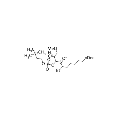 CCCCCCCCCCCCCCCC(CC)[S+]([O-])C(OP(=O)([O-])OCC[N+](C)(C)C)C(C)COC